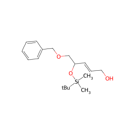 CC(C)(C)[Si](C)(C)OC(C=CCO)COCc1ccccc1